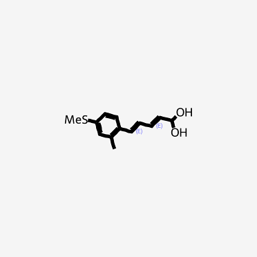 CSc1ccc(/C=C/C=C/C(O)O)c(C)c1